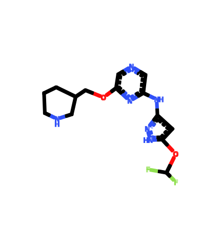 FC(F)Oc1cc(Nc2cncc(OCC3CCCNC3)n2)n[nH]1